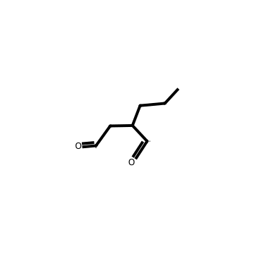 CCCC([C]=O)C[C]=O